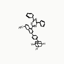 N#Cc1ccc2c(-c3nc(-c4ccccc4)nc(-c4ccccc4)n3)cc(-c3ccc(C45C[C@H]6C[C@@H](C4)C[C@@H](C5)C6)cc3)cc2c1